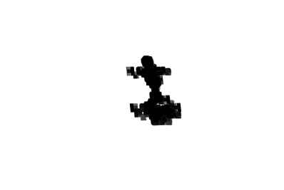 C=CCC1O[C@@H]2C(O[C@@H]3C[C@@H](CCC4CC(=C)C(CCC5CC(C)C(=C)C(CC6O[C@H](CC(O)CO)[C@H](OC)C6CC(=O)OC)O5)O4)OC23)C(OC)C1OC(=O)c1ccccc1